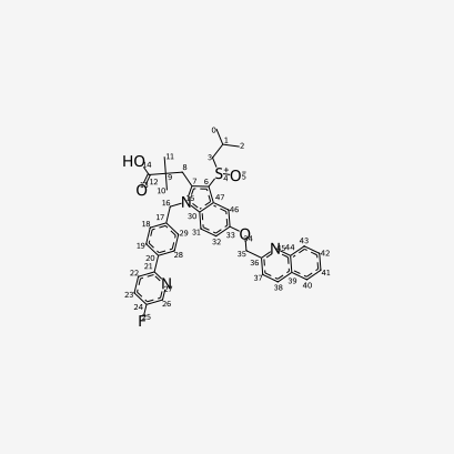 CC(C)C[S+]([O-])c1c(CC(C)(C)C(=O)O)n(Cc2ccc(-c3ccc(F)cn3)cc2)c2ccc(OCc3ccc4ccccc4n3)cc12